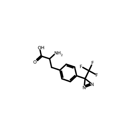 NC(Cc1ccc(C2(C(F)(F)F)N=N2)cc1)C(=O)O